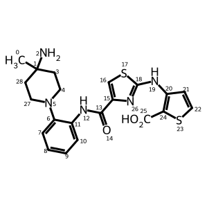 CC1(N)CCN(c2ccccc2NC(=O)c2csc(Nc3ccsc3C(=O)O)n2)CC1